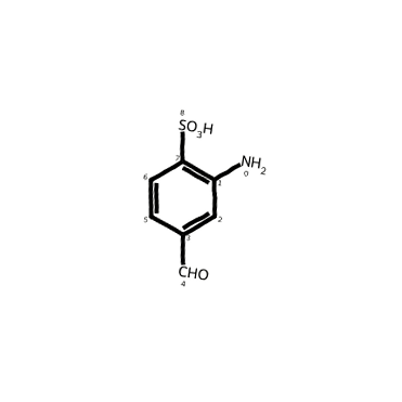 Nc1cc(C=O)ccc1S(=O)(=O)O